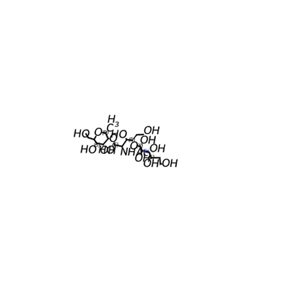 CC(=O)NC(C(O)[C@@H](CCO)O[C@H](O)/C(O)=C(\O)[C@@H](O)CCO)[C@@H](O)OC1C(O)[C@H](O)C(CO)O[C@@H]1C